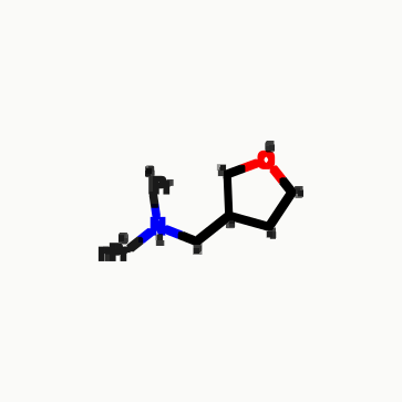 CCCN(CC1CCOC1)C(C)C